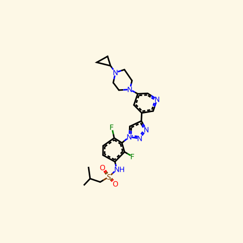 CC(C)CS(=O)(=O)Nc1ccc(F)c(-n2cc(-c3cncc(N4CCN(C5CC5)CC4)c3)nn2)c1F